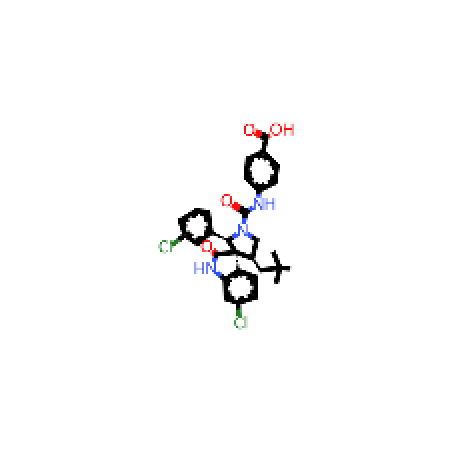 CC(C)(C)C[C@@H]1CN(C(=O)Nc2ccc(C(=O)O)cc2)[C@H](c2cccc(Cl)c2)[C@]12C(=O)Nc1cc(Cl)ccc12